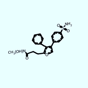 CN(O)C(=O)CCc1occ(-c2ccc(S(N)(=O)=O)cc2)c1-c1ccccc1